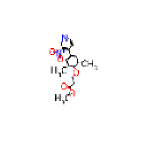 COC(=O)CCO[C@H]1[C@H](C)C=C(c2ccncc2[N+](=O)[O-])C[C@@H]1C